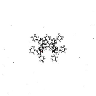 c1ccc(-c2cc(-c3ccccc3)nc(-c3ccc4c(c3)c3cc(-c5nc(-c6ccccc6)cc(-c6ccccc6)n5)ccc3n4-c3c(-c4nc(-c5ccccc5)nc(-c5ccccc5)n4)cccc3-c3nc(-c4ccccc4)nc(-c4ccccc4)n3)n2)cc1